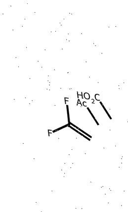 C=C(F)F.CC(=O)O.CC(C)=O